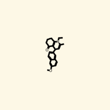 CCN1C(C)=CC(c2ccc3cc(OC)ccc3c2)C2=C1CCCC2=O